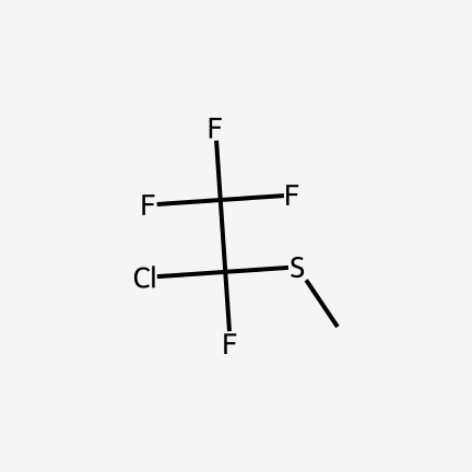 CSC(F)(Cl)C(F)(F)F